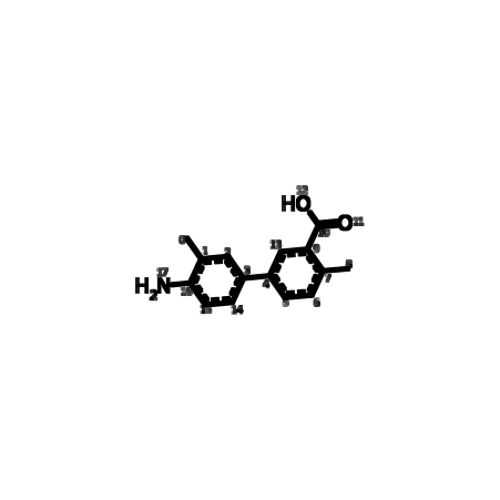 Cc1cc(-c2ccc(C)c(C(=O)O)c2)ccc1N